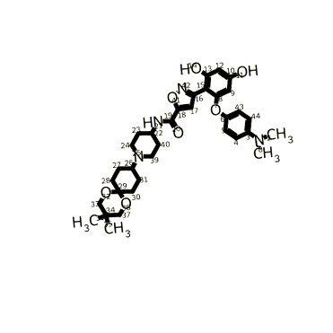 CN(C)c1ccc(Oc2cc(O)cc(O)c2-c2cc(C(=O)NC3CCN(C4CCC5(CC4)OCC(C)(C)CO5)CC3)on2)cc1